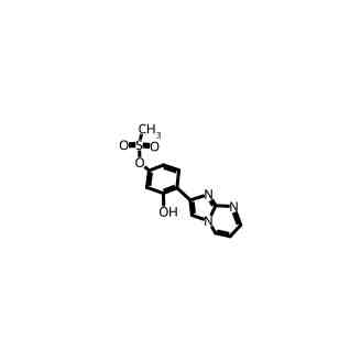 CS(=O)(=O)Oc1ccc(-c2cn3cccnc3n2)c(O)c1